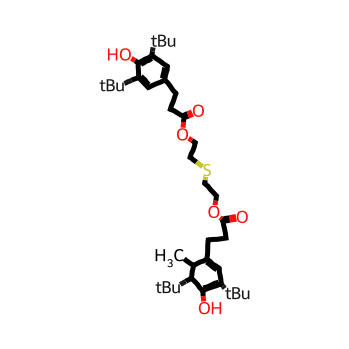 CC1C(CCC(=O)OCCSCCOC(=O)CCc2cc(C(C)(C)C)c(O)c(C(C)(C)C)c2)=CC(C(C)(C)C)=C(O)C1C(C)(C)C